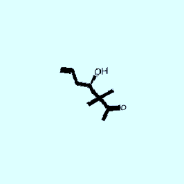 C=CC[C@@H](O)C(C)(C)C(C)=O